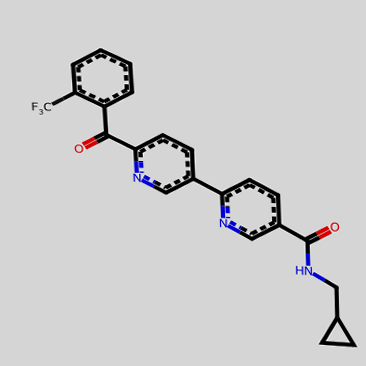 O=C(NCC1CC1)c1ccc(-c2ccc(C(=O)c3ccccc3C(F)(F)F)nc2)nc1